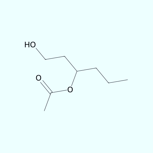 CCCC(CCO)OC(C)=O